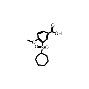 COc1ccc(C(=O)O)cc1S(=O)(=O)C1CCCCCC1